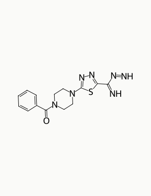 N=NC(=N)c1nnc(N2CCN(C(=O)c3ccccc3)CC2)s1